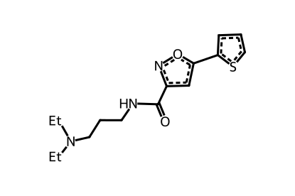 CCN(CC)CCCNC(=O)c1cc(-c2cccs2)on1